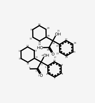 CC(=O)C(O)(c1ccccc1)C1CCCCC1.O=C(O)C(O)(c1ccccc1)C1CCCCC1